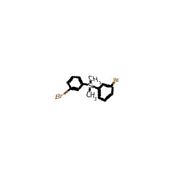 C[Si](C)(c1cccc(Br)c1)c1cccc(Br)c1